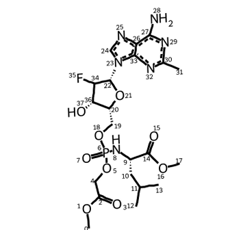 COC(=O)COP(=O)(N[C@@H](CC(C)C)C(=O)OC)OC[C@H]1O[C@@H](n2cnc3c(N)nc(C)nc32)C(F)[C@H]1O